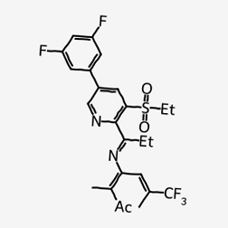 CC\C(=N/C(/C=C(\C)C(F)(F)F)=C(\C)C(C)=O)c1ncc(-c2cc(F)cc(F)c2)cc1S(=O)(=O)CC